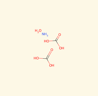 N.O.O=C(O)O.O=C(O)O